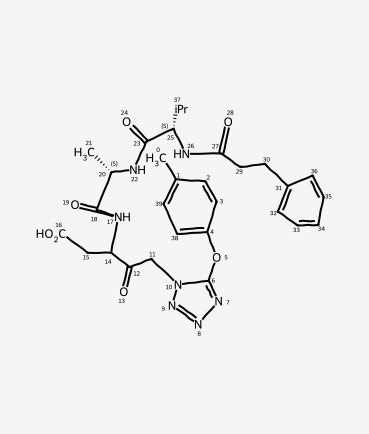 Cc1ccc(Oc2nnnn2CC(=O)C(CC(=O)O)NC(=O)[C@H](C)NC(=O)[C@@H](NC(=O)CCc2ccccc2)C(C)C)cc1